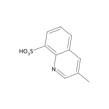 Cc1cnc2c(S(=O)(=O)O)cccc2c1